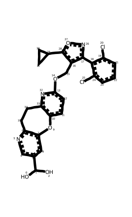 OC(O)c1cnc2c(c1)Oc1ccc(OCc3c(-c4c(Cl)cccc4Cl)noc3C3CC3)nc1CC2